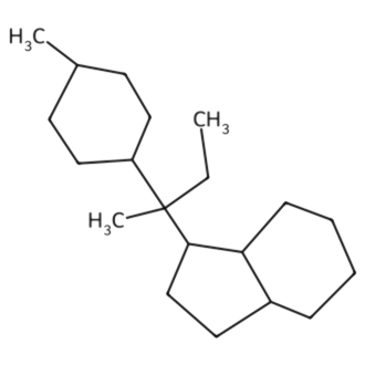 CCC(C)(C1CCC(C)CC1)C1CCC2CCCCC21